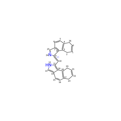 C1=CCc2c(ccc3c2/C(=C/c2[nH]cc4ccc5c(c24)CC=CC5)N=C3)C1